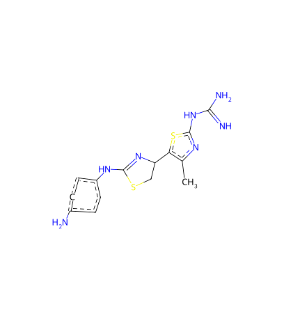 Cc1nc(NC(=N)N)sc1C1CSC(Nc2ccc(N)cc2)=N1